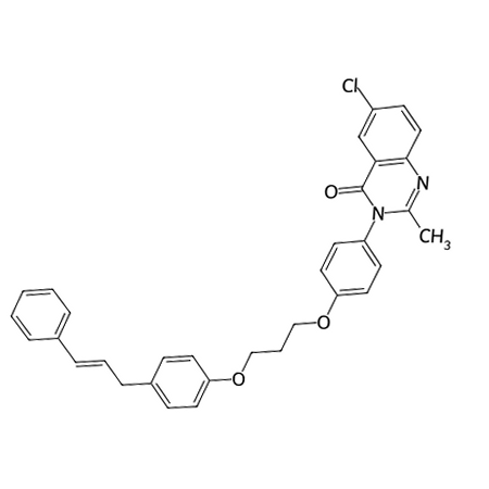 Cc1nc2ccc(Cl)cc2c(=O)n1-c1ccc(OCCCOc2ccc(CC=Cc3ccccc3)cc2)cc1